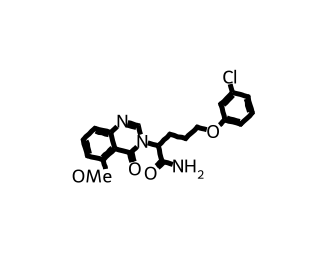 COc1cccc2ncn(C(CCCOc3cccc(Cl)c3)C(N)=O)c(=O)c12